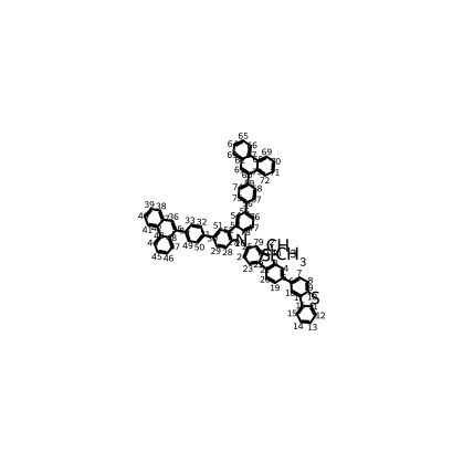 C[Si]1(C)c2cc(-c3ccc4sc5ccccc5c4c3)ccc2-c2ccc(-n3c4ccc(-c5ccc(-c6cc7ccccc7c7ccccc67)cc5)cc4c4cc(-c5ccc(-c6cc7ccccc7c7ccccc67)cc5)ccc43)cc21